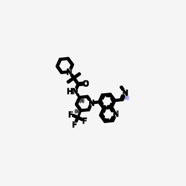 C/N=C\c1ccc(N2C[C@H](NC(=O)C(C)(C)N3CCCCC3)C[C@H](C(F)(F)F)C2)c2cccnc12